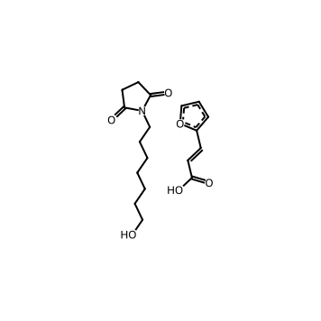 O=C(O)C=Cc1ccco1.O=C1CCC(=O)N1CCCCCCCO